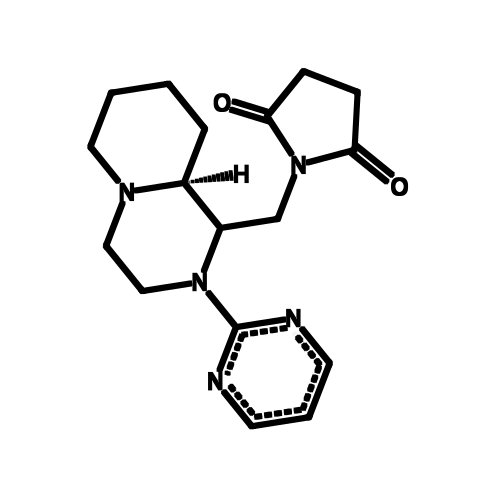 O=C1CCC(=O)N1CC1[C@@H]2CCCCN2CCN1c1ncccn1